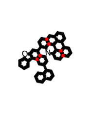 c1ccc(-c2cccc3cccc(-c4ccccc4N(c4cccc(-c5cccc6ccccc56)c4)c4ccccc4-c4ccc5c(c4)oc4ccccc45)c23)cc1